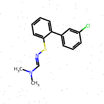 CN(C)/C=N/Sc1ccccc1-c1cccc(Cl)c1